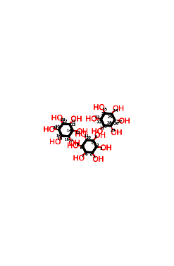 O[C@H]1[C@@H](O)[C@@H](O)[C@@H](O)[C@@H](O)[C@@H]1O.O[C@H]1[C@@H](O)[C@@H](O)[C@@H](O)[C@@H](O)[C@H]1O.O[C@H]1[C@H](O)[C@H](O)[C@H](O)[C@@H](O)[C@H]1O